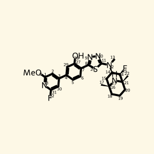 COc1cc(-c2ccc(-c3nnc(N(C)[C@@H]4C[C@@]5(C)CCC[C@](C)(N5)[C@@H]4F)s3)c(O)c2)cc(F)n1